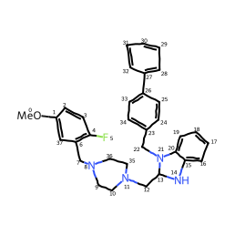 COc1ccc(F)c(CN2CCN(CC3Nc4ccccc4N3Cc3ccc(-c4ccccc4)cc3)CC2)c1